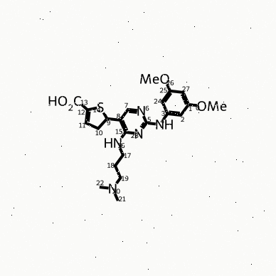 COc1cc(Nc2ncc(C3CC=C(C(=O)O)S3)c(NCCCN(C)C)n2)cc(OC)c1